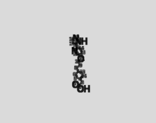 O=C(O)Cc1ccc(CCCOc2ccc(-c3ccn[nH]3)nc2)cc1